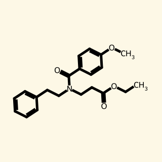 CCOC(=O)CCN(CCc1ccccc1)C(=O)c1ccc(OC)cc1